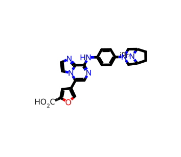 CC(C)N1C2CCC1CN(c1ccc(Nc3ncc(-c4coc(C(=O)O)c4)n4ccnc34)cc1)C2